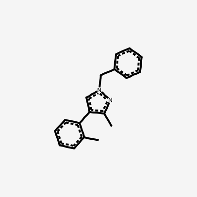 Cc1ccccc1-c1cn(Cc2ccccc2)nc1C